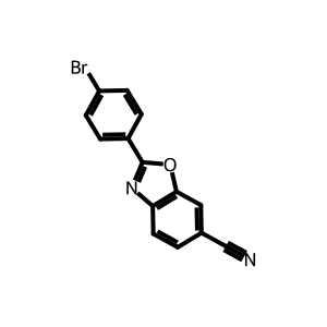 N#Cc1ccc2nc(-c3ccc(Br)cc3)oc2c1